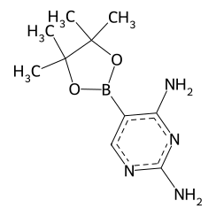 CC1(C)OB(c2cnc(N)nc2N)OC1(C)C